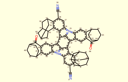 N#Cc1cc2c(c3c1C1CC4CC(C1)CC3C4)c1c3c4cc5c(cc4n4c6cc(C#N)c7c(c6c(c6c8cc9c(cc8n2c61)C1CCC(CC1)C9=O)c34)C1CC2CC7CC1C2)C1CCC(CC1)C5=O